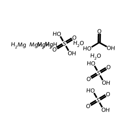 O.O.O=C(O)O.O=S(=O)(O)O.O=S(=O)(O)O.O=S(=O)(O)O.[MgH2].[MgH2].[MgH2].[MgH2]